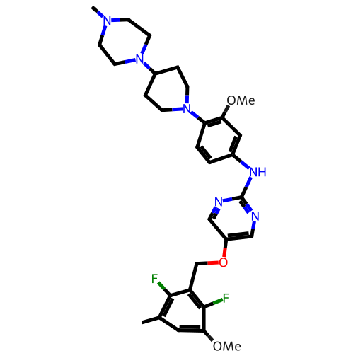 COc1cc(Nc2ncc(OCc3c(F)c(C)cc(OC)c3F)cn2)ccc1N1CCC(N2CCN(C)CC2)CC1